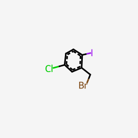 Clc1ccc(I)c(CBr)c1